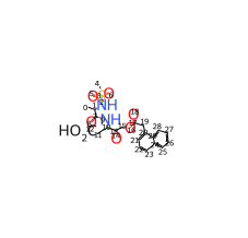 CC(NS(C)(=O)=O)C(=O)NC(CC(=O)O)C(=O)COC(=O)Cc1cccc2ccccc12